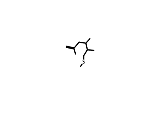 C=C(C)CC(C)C(C)CSC